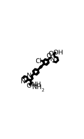 NNC(=O)c1cc(-c2ccc(C#Cc3ccc(C(=O)N4CCCCC4C(=O)O)cc3Cl)cc2)nc2ccncc12